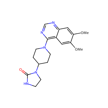 COc1cc2ncnc(N3CCC(N4CCNC4=O)CC3)c2cc1OC